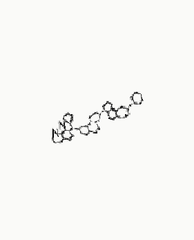 C1=CC2c3cc(-c4c5ccccc5nc5c4ccc4cccnc45)ccc3C=CC2C=C1c1cccc2c1ccc1ccc(-c3ccccc3)cc12